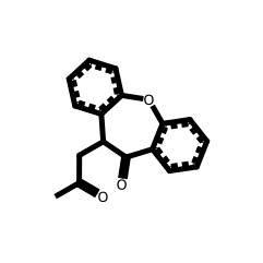 CC(=O)CC1C(=O)c2ccccc2Oc2ccccc21